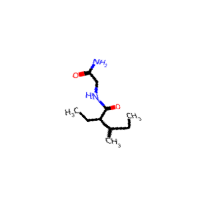 CCC(C)C(CC)C(=O)NCC(N)=O